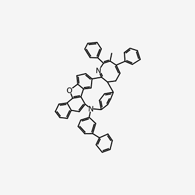 CC1=C(c2ccccc2)/N=C2/c3ccc4oc5c6ccccc6cc(c5c4c3)N(c3cccc(-c4ccccc4)c3)c3ccc(cc3)C2C/C=C\1c1ccccc1